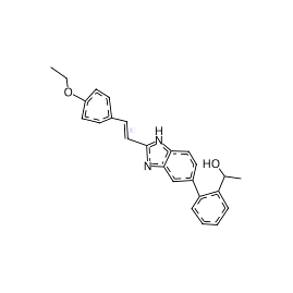 CCOc1ccc(/C=C/c2nc3cc(-c4ccccc4C(C)O)ccc3[nH]2)cc1